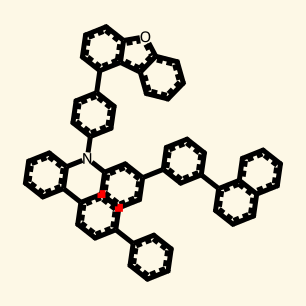 c1ccc(-c2ccc(-c3ccccc3N(c3ccc(-c4cccc5oc6ccccc6c45)cc3)c3cccc(-c4cccc(-c5cccc6ccccc56)c4)c3)cc2)cc1